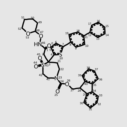 O=C(CC1(c2ccc(-c3ccc(-c4ccccc4)cc3)s2)CCN(C(=O)OCC2c3ccccc3-c3ccccc32)CCS1(=O)=O)NOC1CCCCO1